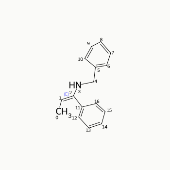 C/C=C(/NCc1ccccc1)c1ccccc1